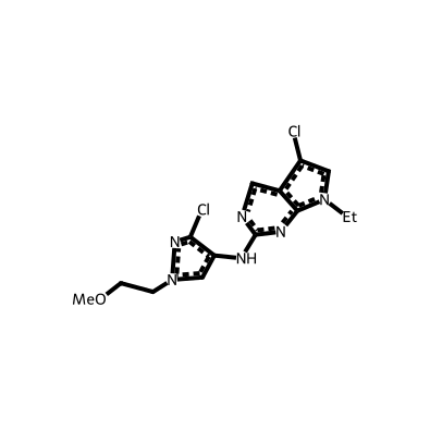 CCn1cc(Cl)c2cnc(Nc3cn(CCOC)nc3Cl)nc21